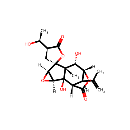 C=C(C)[C@@H]1[C@H]2OC(=O)[C@@H]1[C@]1(O)[C@H]3O[C@H]3[C@]3(C[C@@H]([C@H](C)O)C(=O)O3)[C@]1(C)[C@@H]2O